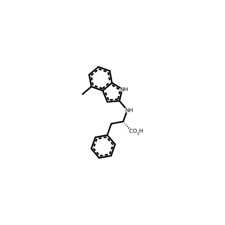 Cc1cccc2[nH]c(N[C@@H](Cc3ccccc3)C(=O)O)cc12